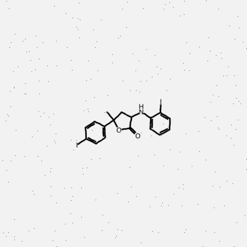 CC1(c2ccc(I)cc2)CC(Nc2ccccc2I)C(=O)O1